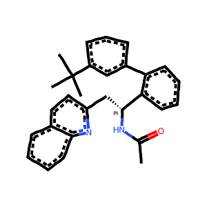 CC(=O)N[C@H](Cc1ccc2ccccc2n1)c1ccccc1-c1cccc(C(C)(C)C)c1